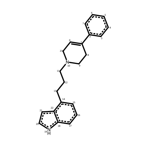 C1=C(c2ccccc2)CCN(CCCc2cccc3[nH]ccc23)C1